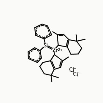 CC1=CC2=C(CCCC2(C)C)[CH]1[Zr+2]([CH]1C(C)=CC2=C1CCCC2(C)C)=[Si](c1ccccc1)c1ccccc1.[Cl-].[Cl-]